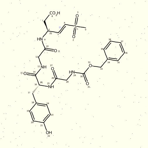 CS(=O)(=O)/C=C/[C@H](CC(=O)O)NC(=O)CNC(=O)[C@@H](Cc1ccc(O)cc1)NC(=O)CNC(=O)OCc1ccccc1